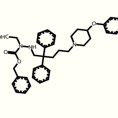 O=CCN(NCC(CCCN1CCC(Oc2ccccc2)CC1)(c1ccccc1)c1ccccc1)C(=O)OCc1ccccc1